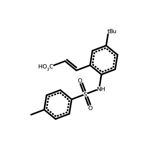 Cc1ccc(S(=O)(=O)Nc2ccc(C(C)(C)C)cc2/C=C/C(=O)O)cc1